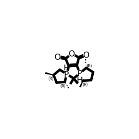 C[C@@H]1C[C@@H](C)[PH]2(C1)C1=C(C(=O)OC1=O)[PH]1([C@H](C)CC[C@H]1C)C2(C)C